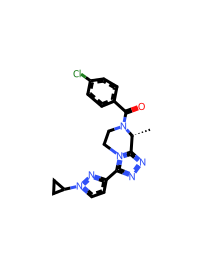 C[C@@H]1c2nnc(-c3ccn(C4CC4)n3)n2CCN1C(=O)c1ccc(Cl)cc1